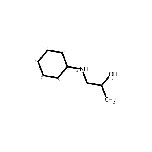 [CH2]C(O)CNC1CCCCC1